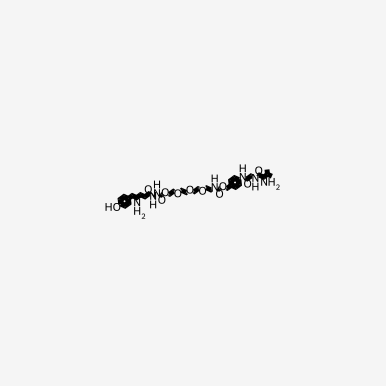 CC(C)[C@H](N)C(=O)NCC(=O)Nc1ccc(COC(=O)NCCOCCOCCOCCOC(=O)NNC(=O)CC[C@@H](N)Cc2ccc(O)cc2)cc1